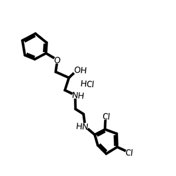 Cl.OC(CNCCNc1ccc(Cl)cc1Cl)COc1ccccc1